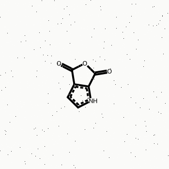 O=C1OC(=O)c2[nH]ccc21